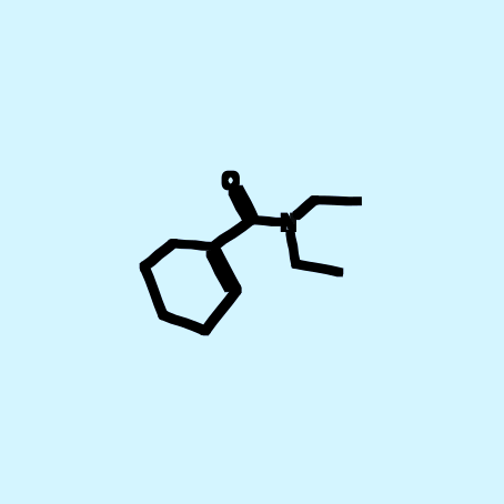 CCN(CC)C(=O)C1=CCCCC1